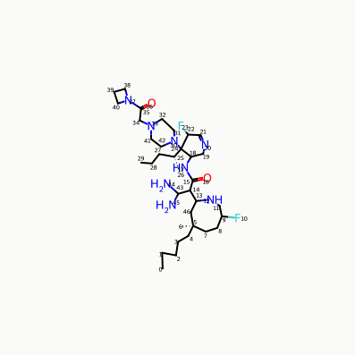 CCCCC[C@]1(C)CCC(F)CNC(C(C(=O)NC2CN=CC(F)C2([C@H](C)CCC)N2CCN(CC(=O)N3CCC3)CC2)C(N)N)C1